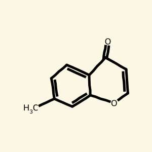 Cc1ccc2c(=O)ccoc2c1